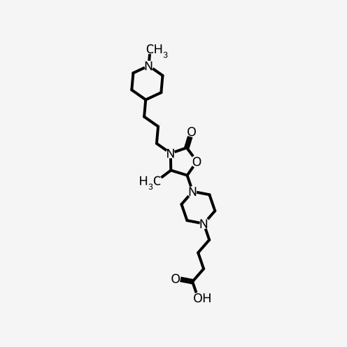 CC1C(N2CCN(CCCC(=O)O)CC2)OC(=O)N1CCCC1CCN(C)CC1